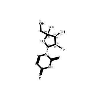 C=C1NC(=O)C=CN1[C@@H]1O[C@](F)(CO)[C@@H](O)[C@H]1F